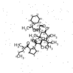 CCCN(C)C(=O)[C@@H]1CCCN1C(=O)/C(C)=C/C(C(C)C)N(C)C(=O)[C@@H](NC(=O)[C@H]1CCCCN1C(C)C)C(C)(C)C